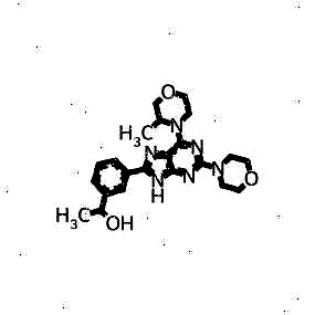 CC(O)c1cccc(-c2nc3c(N4CCOCC4C)nc(N4CCOCC4)nc3[nH]2)c1